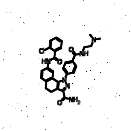 CN(C)CCNC(=O)c1ccc(-n2nc(C(N)=O)c3c2-c2cc(NC(=O)c4ccccc4Cl)ccc2CC3)cc1